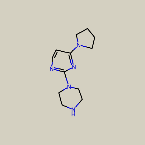 c1cc(N2CCCC2)nc(N2CCNCC2)n1